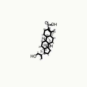 CC(CO)[C@H]1CC[C@H]2[C@@H]3CCC4C(F)=C([PH](=O)O)CC[C@]4(C)[C@H]3CC[C@]12C